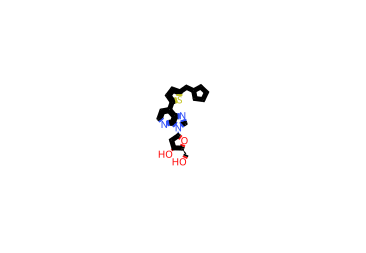 OC[C@H]1O[C@@H](n2cnc3c(-c4ccc(CC5CCCC5)s4)ccnc32)C[C@@H]1O